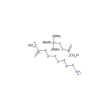 C=C(CCC(NC)(NC)NC)C(=O)O.C=C(CCCCCCCN)C(=O)O